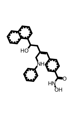 O=C(NO)c1ccc(C=C(CNc2ccccc2)CC(O)c2cccc3ccccc23)cc1